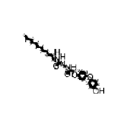 CCCCCCCCCCCCNC(=O)NCNC(=O)COc1ccc(Oc2ccc(O)cc2)cc1